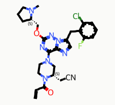 C=CC(=O)N1CCN(c2nc(OC[C@@H]3CCCN3C)nn3c(Cc4c(F)cccc4Cl)cnc23)C[C@@H]1CC#N